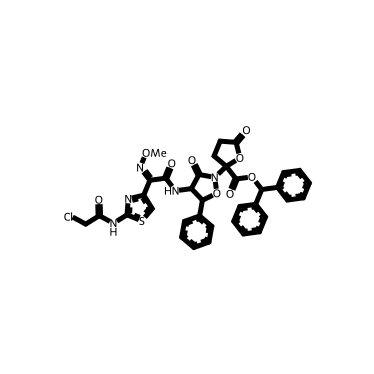 CO/N=C(\C(=O)NC1C(=O)N(C2(C(=O)OC(c3ccccc3)c3ccccc3)CCC(=O)O2)OC1c1ccccc1)c1csc(NC(=O)CCl)n1